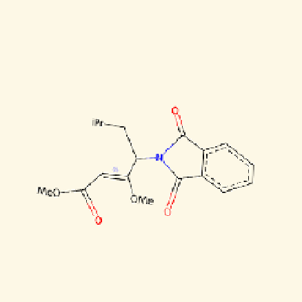 COC(=O)/C=C(\OC)C(CC(C)C)N1C(=O)c2ccccc2C1=O